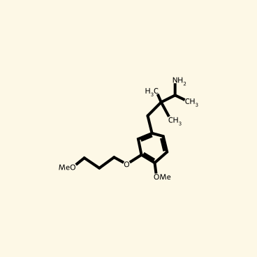 COCCCOc1cc(CC(C)(C)C(C)N)ccc1OC